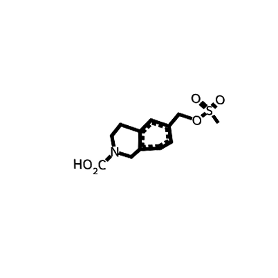 CS(=O)(=O)OCc1ccc2c(c1)CCN(C(=O)O)C2